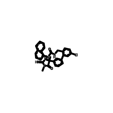 CN1C(=N)NC(C)(c2cccc(-c3cc(Cl)ccc3CNC(=O)Nc3cccc4ccccc34)c2)C1=O